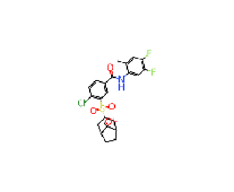 Cc1cc(F)c(F)cc1NC(=O)c1ccc(Cl)c(S(=O)(=O)C2CC3CCC(C2)C3(C)O)c1